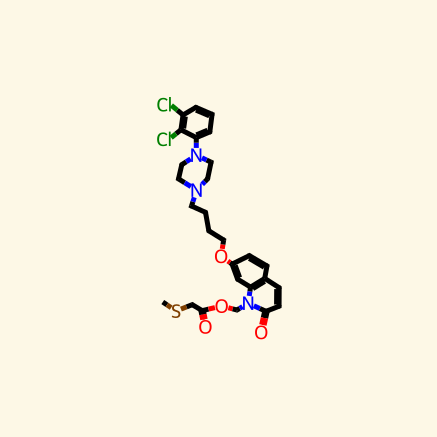 CSCC(=O)OCn1c(=O)ccc2ccc(OCCCCN3CCN(c4cccc(Cl)c4Cl)CC3)cc21